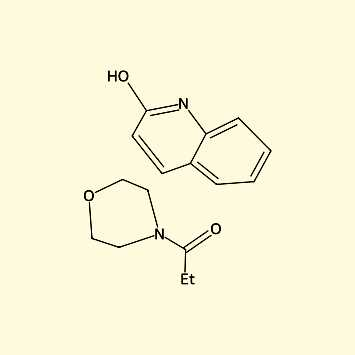 CCC(=O)N1CCOCC1.Oc1ccc2ccccc2n1